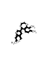 C=C/C=C\C1=C(C=C)OCCN=C1c1cnc(=C/C=C)/c(=C\C)c1